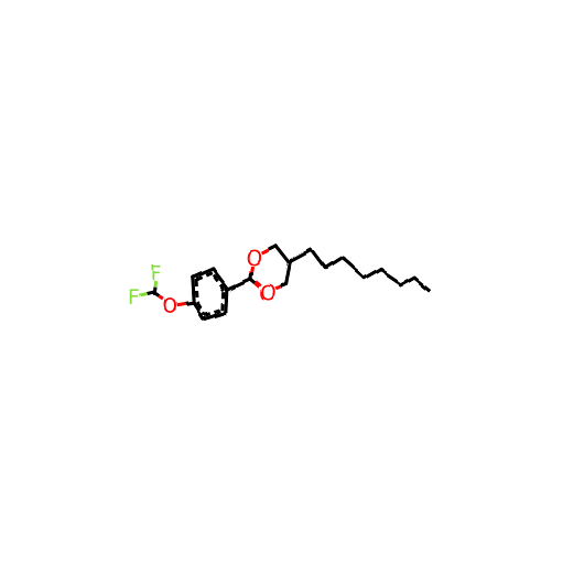 CCCCCCCCC1COC(c2ccc(OC(F)F)cc2)OC1